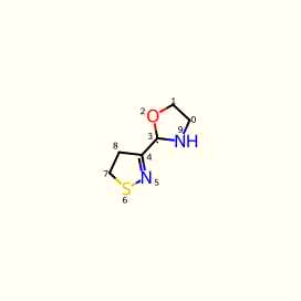 C1CO[C](C2=NSCC2)N1